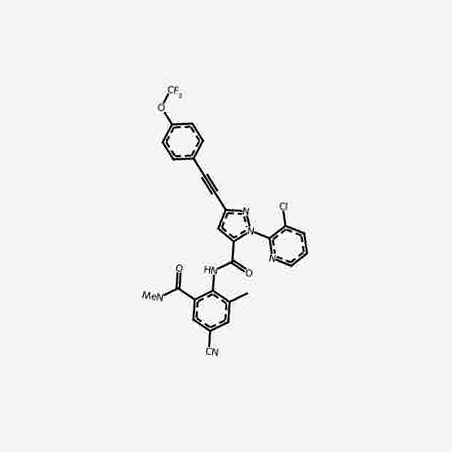 CNC(=O)c1cc(C#N)cc(C)c1NC(=O)c1cc(C#Cc2ccc(OC(F)(F)F)cc2)nn1-c1ncccc1Cl